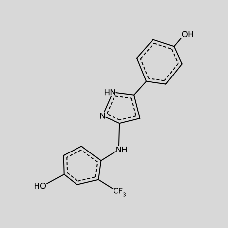 Oc1ccc(-c2cc(Nc3ccc(O)cc3C(F)(F)F)n[nH]2)cc1